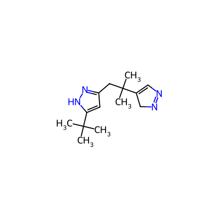 CC(C)(Cc1cc(C(C)(C)C)[nH]n1)C1=CN=NC1